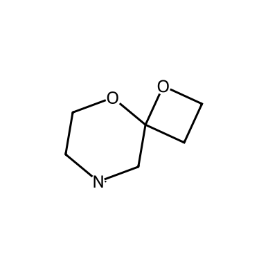 C1COC2(CCO2)C[N]1